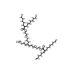 CCCCCCCCC(CCCCCC)C(=O)OCCOCCCN(CCCO)CCCOCCOC(=O)C(CCCCCC)CCCCCCCC